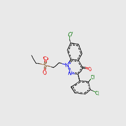 CCS(=O)(=O)CCn1nc(-c2cccc(Cl)c2Cl)c(=O)c2ccc(Cl)cc21